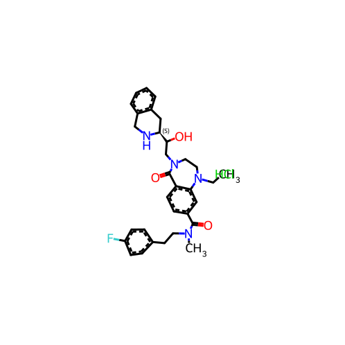 CCN1CCN(CC(O)[C@@H]2Cc3ccccc3CN2)C(=O)c2ccc(C(=O)N(C)CCc3ccc(F)cc3)cc21.Cl